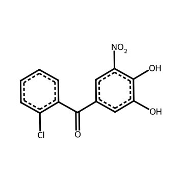 O=C(c1cc(O)c(O)c([N+](=O)[O-])c1)c1ccccc1Cl